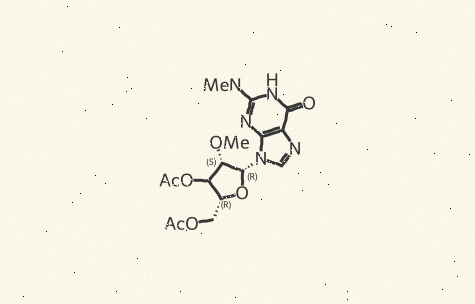 CNc1nc2c(ncn2[C@@H]2O[C@H](COC(C)=O)C(OC(C)=O)[C@@H]2OC)c(=O)[nH]1